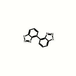 c1cc(-c2cccc3snnc23)c2nnsc2c1